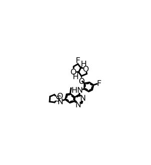 Cc1cc(N=S2(=O)CCCC2)cc2ncnc(Nc3ccc(F)cc3O[C@@H]3CO[C@H]4[C@@H]3OC[C@@H]4F)c12